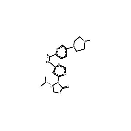 CC(C)[C@H]1COC(=O)N1c1ncnc(N[C@@H](C)c2ccc(N3CCN(C)CC3)cn2)n1